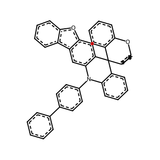 c1ccc(-c2ccc(N3c4ccccc4C4(c5ccccc5Oc5ccccc54)c4cc5oc6ccccc6c5cc43)cc2)cc1